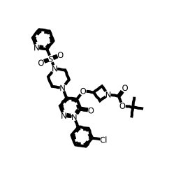 CC(C)(C)OC(=O)N1CC(Oc2c(N3CCN(S(=O)(=O)c4ccccn4)CC3)cnn(-c3cccc(Cl)c3)c2=O)C1